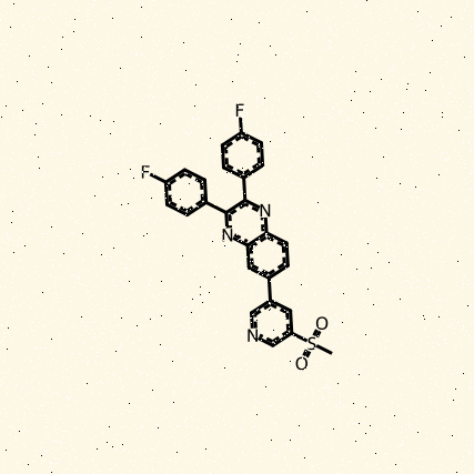 CS(=O)(=O)c1cncc(-c2ccc3nc(-c4ccc(F)cc4)c(-c4ccc(F)cc4)nc3c2)c1